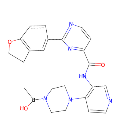 CB(O)N1CCN(c2ccncc2NC(=O)c2ccnc(-c3ccc4c(c3)CCO4)n2)CC1